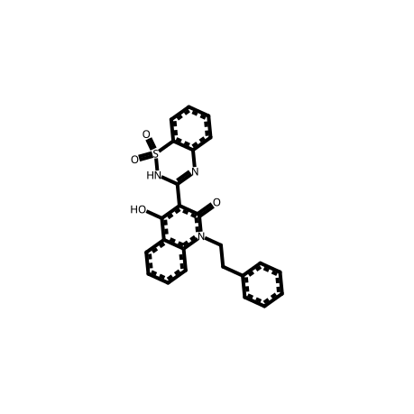 O=c1c(C2=Nc3ccccc3S(=O)(=O)N2)c(O)c2ccccc2n1CCc1ccccc1